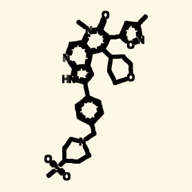 Cc1cc(-c2c(C3CCOCC3)c3c4cc(-c5ccc(CN6CCC(S(C)(=O)=O)CC6)cc5)[nH]c4ncc3n(C)c2=O)on1